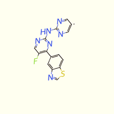 Fc1cnc(Nc2nc[c]cn2)nc1-c1ccc2scnc2c1